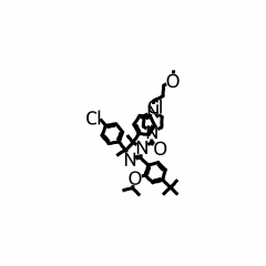 COCCCN1CCN(C(=O)N2C(c3ccc(C(C)(C)C)cc3OC(C)C)=NC(C)(c3ccc(Cl)cc3)C2(C)c2ccc(Cl)cc2)CC1